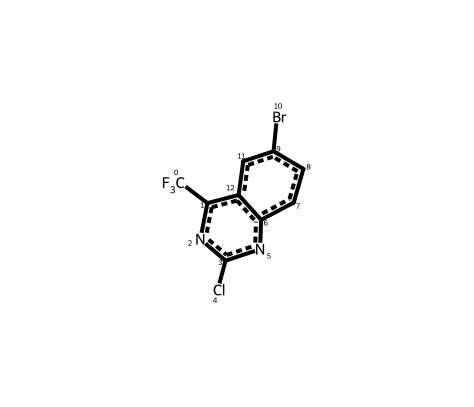 FC(F)(F)c1nc(Cl)nc2ccc(Br)cc12